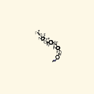 C/C=C/C1CCC(C(F)(F)Oc2ccc(C(F)(F)Oc3cc(F)c(C(F)(F)Oc4cc(F)c(OC=C(F)F)c(F)c4)c(F)c3)c(F)c2)CC1